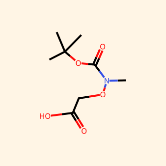 CN(OCC(=O)O)C(=O)OC(C)(C)C